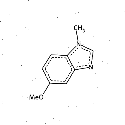 COc1ccc2c(c1)n[c]n2C